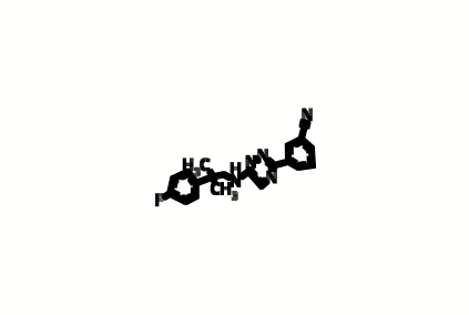 CC(C)(CNc1cnc(-c2cccc(C#N)c2)nn1)c1ccc(F)cc1